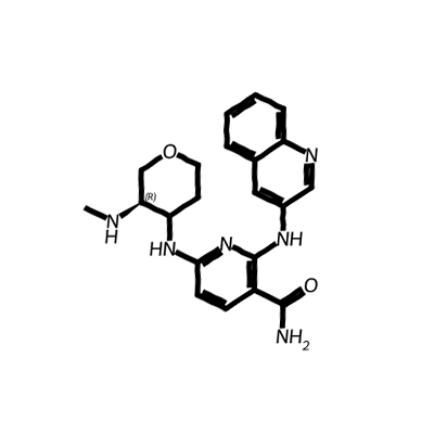 CN[C@H]1COCCC1Nc1ccc(C(N)=O)c(Nc2cnc3ccccc3c2)n1